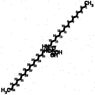 CCCCCCCCCCCCCCCCCCNCCCCCCCCCCCCCCCCCC.O=P(O)(O)O